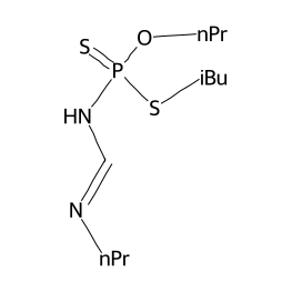 CCCN=CNP(=S)(OCCC)SC(C)CC